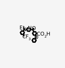 CCN(c1ccc(C(=O)c2ccc(Oc3ccccc3)c(C(=O)O)c2)nc1)c1cccc(C(F)(F)F)c1